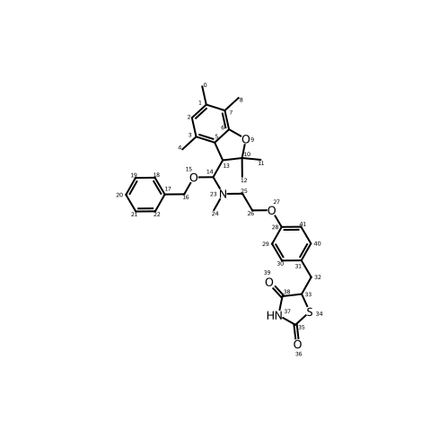 Cc1cc(C)c2c(c1C)OC(C)(C)C2C(OCc1ccccc1)N(C)CCOc1ccc(CC2SC(=O)NC2=O)cc1